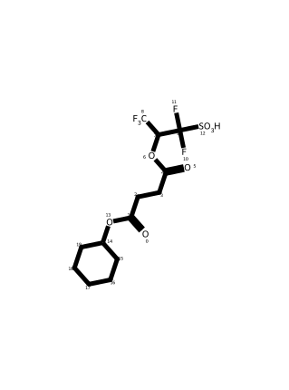 O=C(CCC(=O)OC(C(F)(F)F)C(F)(F)S(=O)(=O)O)OC1CCCCC1